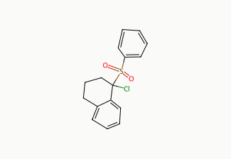 O=S(=O)(c1ccccc1)C1(Cl)CCCc2ccccc21